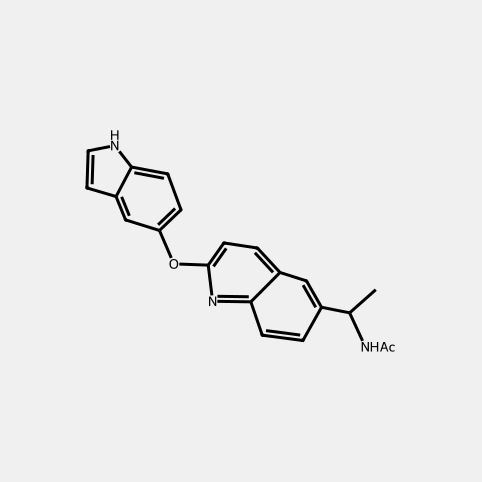 CC(=O)NC(C)c1ccc2nc(Oc3ccc4[nH]ccc4c3)ccc2c1